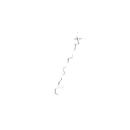 CCCC(CC)CNCCOCCOCCOCCCC(C)(C)CC